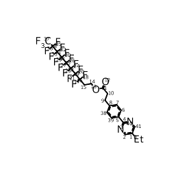 CCc1cnc(-c2ccc(CCC(=O)OCCC(F)(F)C(F)(F)C(F)(F)C(F)(F)C(F)(F)C(F)(F)C(F)(F)C(F)(F)F)cc2)nc1